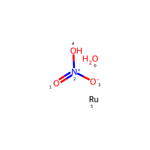 O.O=[N+]([O-])O.[Ru]